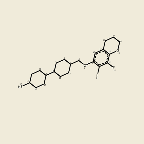 Fc1c(OCC2CCC(C3CCC(S)CC3)CC2)cc2c(c1F)OCCC2